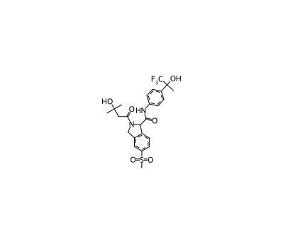 CC(C)(O)CC(=O)N1Cc2cc(S(C)(=O)=O)ccc2C1C(=O)Nc1ccc(C(C)(O)C(F)(F)F)cc1